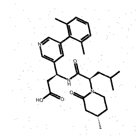 Cc1cccc(C)c1-c1cncc([C@H](CC(=O)O)NC(=O)[C@@H](CC(C)C)N2CC[C@H](C)CC2=O)c1